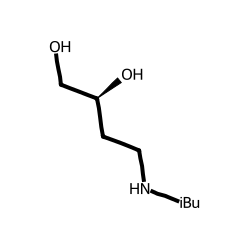 CCC(C)NCC[C@H](O)CO